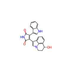 O=C1NC(=O)C(c2cn3c4c(cccc24)C(O)CC3)=C1c1c[nH]c2ccccc12